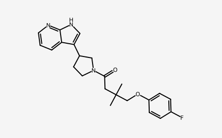 CC(C)(COc1ccc(F)cc1)CC(=O)N1CCC(c2c[nH]c3ncccc23)C1